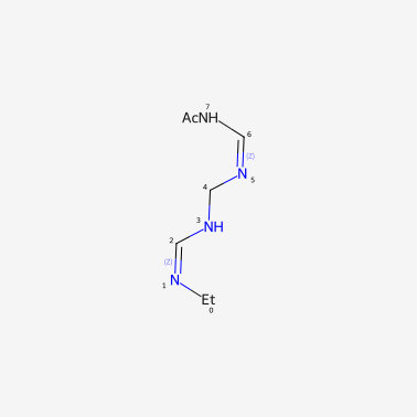 CC/N=C\NC/N=C\NC(C)=O